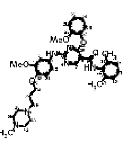 COc1cc(Nc2ncc(C(=O)Nc3c(C)cccc3C)c(Oc3ccccc3OC)n2)ccc1OCCCN1CCN(C)CC1